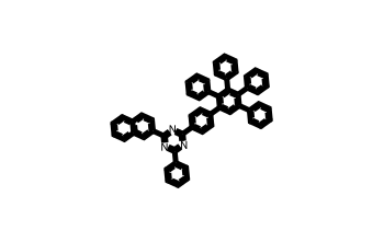 c1ccc(-c2nc(-c3ccc(-c4cc(-c5ccccc5)c(-c5ccccc5)c(-c5ccccc5)c4-c4ccccc4)cc3)nc(-c3ccc4ccccc4c3)n2)cc1